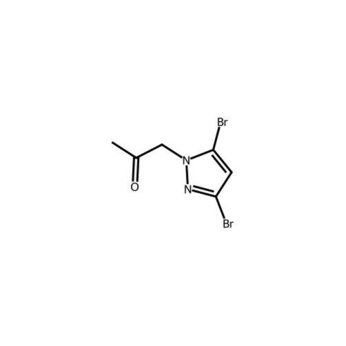 CC(=O)Cn1nc(Br)cc1Br